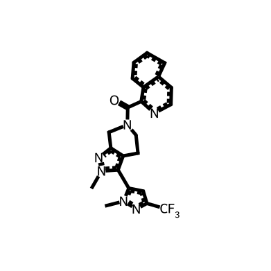 Cn1nc(C(F)(F)F)cc1-c1c2c(nn1C)CN(C(=O)c1nccc3ccccc13)CC2